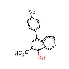 CC(=O)c1ccc(-c2cc(C(=O)O)c(O)c3ccccc23)cc1